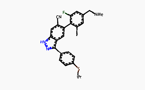 CNCc1cc(C)c(-c2cc3c(-c4ccc(SC(C)C)cc4)n[nH]c3cc2C#N)c(F)c1